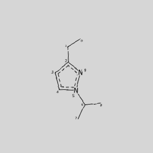 CCc1ccn(C(C)C)n1